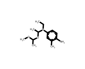 CCN(c1ccc(N)c(C)c1)C(C)OC(C)OC